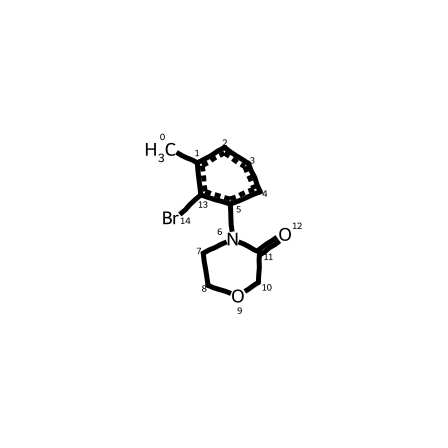 Cc1cccc(N2CCOCC2=O)c1Br